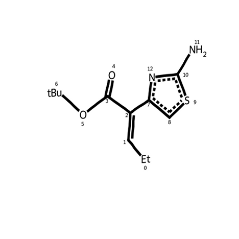 CC/C=C(/C(=O)OC(C)(C)C)c1csc(N)n1